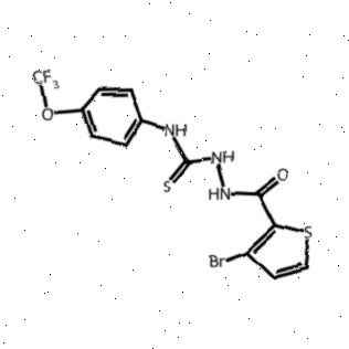 O=C(NNC(=S)Nc1ccc(OC(F)(F)F)cc1)c1sccc1Br